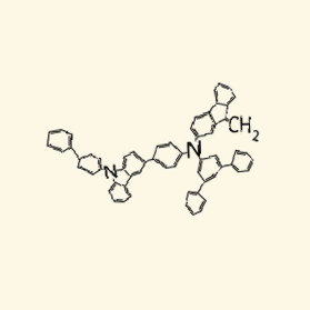 C=C1c2ccccc2-c2ccc(N(c3ccc(-c4ccc5c(c4)c4ccccc4n5C4=CCC(c5ccccc5)C=C4)cc3)c3cc(-c4ccccc4)cc(-c4ccccc4)c3)cc21